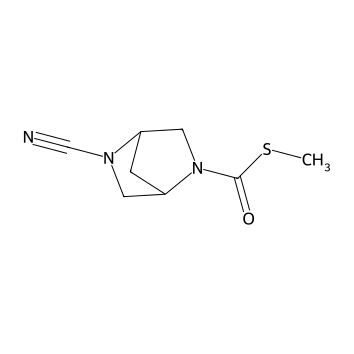 CSC(=O)N1CC2CC1CN2C#N